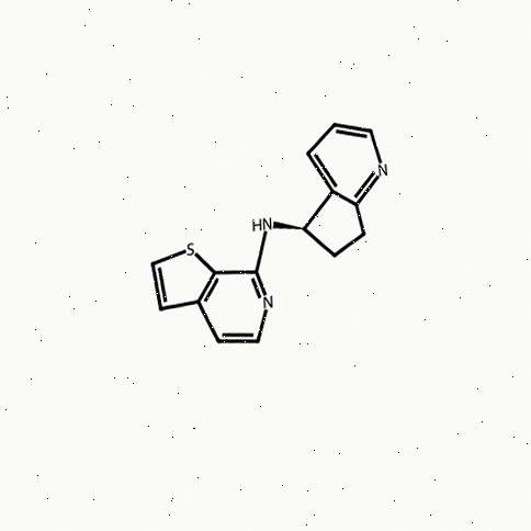 c1cnc2c(c1)[C@H](Nc1nccc3ccsc13)CC2